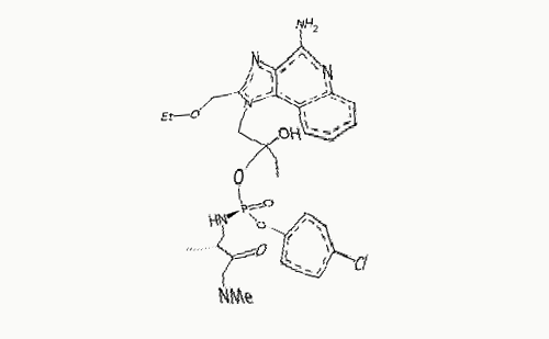 CCOCc1nc2c(N)nc3ccccc3c2n1CC(C)(O)O[P@@](=O)(N[C@@H](C)C(=O)NC)Oc1ccc(Cl)cc1